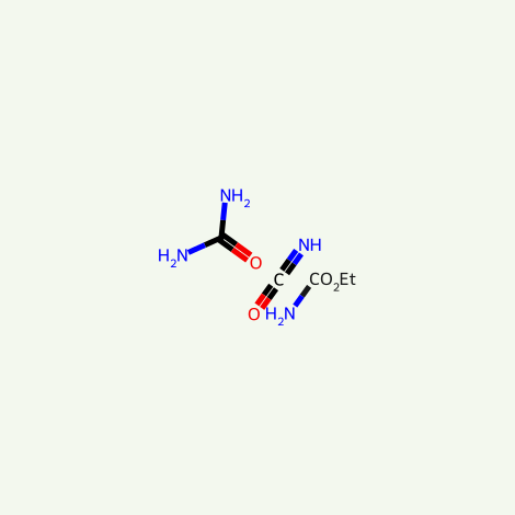 CCOC(N)=O.N=C=O.NC(N)=O